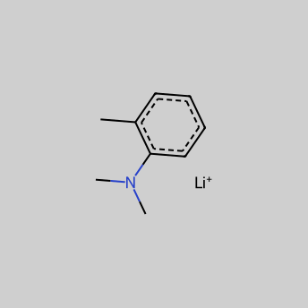 Cc1ccccc1N(C)C.[Li+]